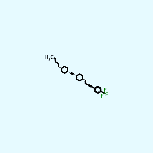 CCCCC[C@H]1CC[C@H](C#C[C@H]2CC[C@H](C=CC#Cc3ccc(C(F)(F)F)cc3)CC2)CC1